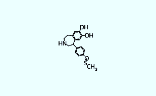 CSOc1ccc(C2CNCCc3cc(O)c(O)cc32)cc1